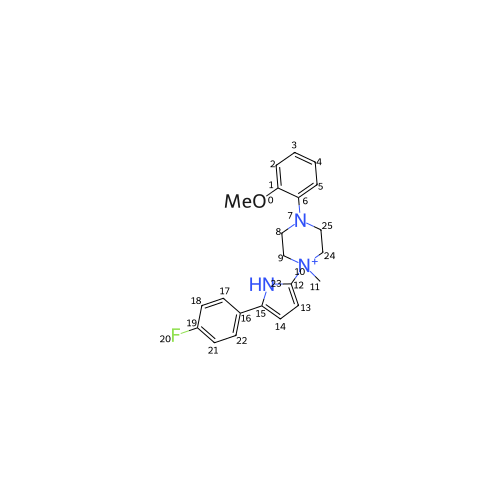 COc1ccccc1N1CC[N+](C)(c2ccc(-c3ccc(F)cc3)[nH]2)CC1